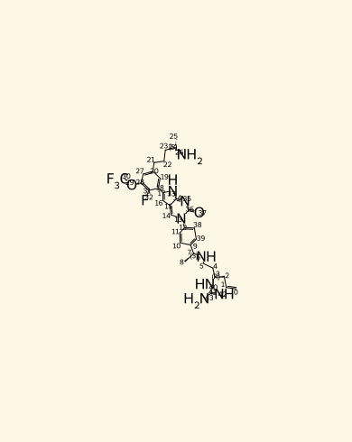 C=CC[C@H](CCN[C@@H](C)c1ccc(-n2cc3cc(-c4cc(CCC[C@H](C)N)cc(OC(F)(F)F)c4F)[nH]c3nc2=O)cc1)NC(=N)N